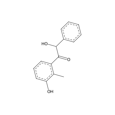 Cc1c(O)cccc1C(=O)C(O)c1ccccc1